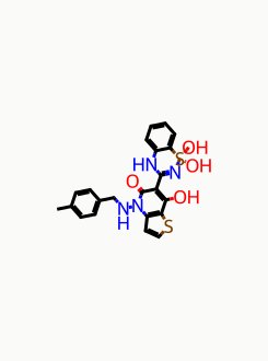 Cc1ccc(CNn2c(=O)c(C3=NS(O)(O)c4ccccc4N3)c(O)c3sccc32)cc1